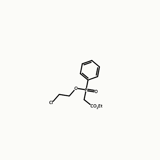 CCOC(=O)CP(=O)(OCCCl)c1ccccc1